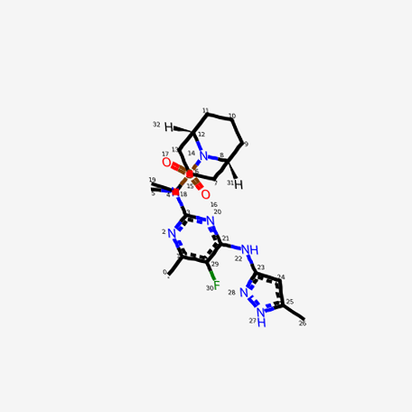 [CH2]c1nc(N(C)[C@H]2C[C@H]3CCC[C@@H](C2)N3S(=O)(=O)CC)nc(Nc2cc(C)[nH]n2)c1F